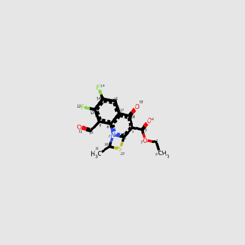 CCOC(=O)c1c2n(c3c(C=O)c(F)c(F)cc3c1=O)C(C)S2